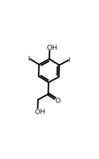 O=C(CO)c1cc(I)c(O)c(I)c1